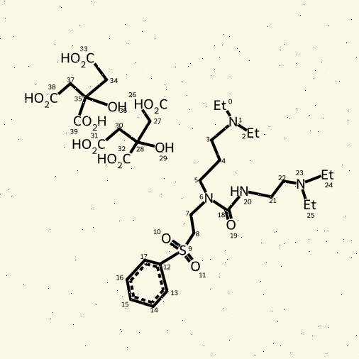 CCN(CC)CCCN(CCS(=O)(=O)c1ccccc1)C(=O)NCCN(CC)CC.O=C(O)CC(O)(CC(=O)O)C(=O)O.O=C(O)CC(O)(CC(=O)O)C(=O)O